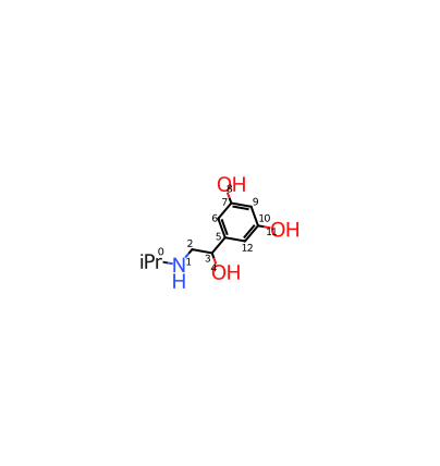 [CH2]C(C)NCC(O)c1cc(O)cc(O)c1